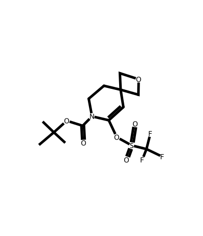 CC(C)(C)OC(=O)N1CCC2(C=C1OS(=O)(=O)C(F)(F)F)COC2